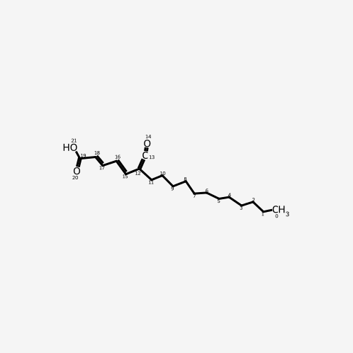 CCCCCCCCCCCCC(=C=O)C=CC=CC(=O)O